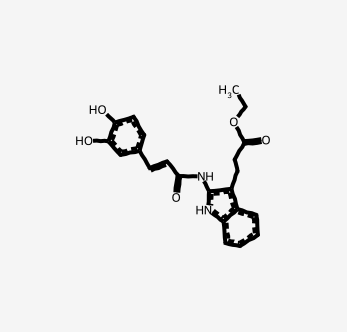 CCOC(=O)CCc1c(NC(=O)C=Cc2ccc(O)c(O)c2)[nH]c2ccccc12